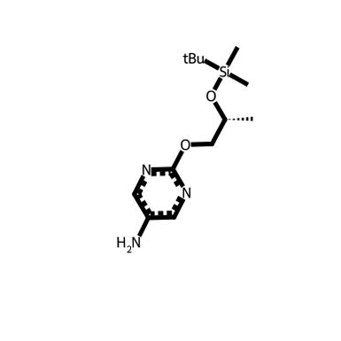 C[C@H](COc1ncc(N)cn1)O[Si](C)(C)C(C)(C)C